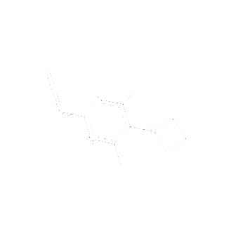 Cc1nc(N=C=S)nc(C)c1N1CCC1